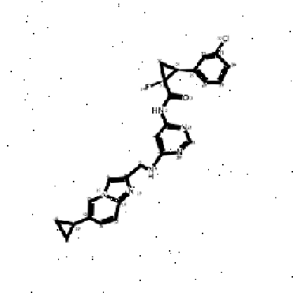 O=C(Nc1cc(NCc2cn3cc(C4CC4)ccc3n2)ncn1)[C@]1(F)C[C@H]1c1cccc(Cl)c1